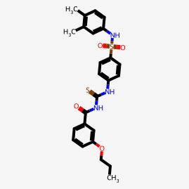 CCCOc1cccc(C(=O)NC(=S)Nc2ccc(S(=O)(=O)Nc3ccc(C)c(C)c3)cc2)c1